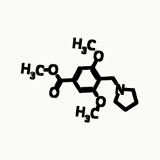 COC(=O)c1cc(OC)c(CN2CCCC2)c(OC)c1